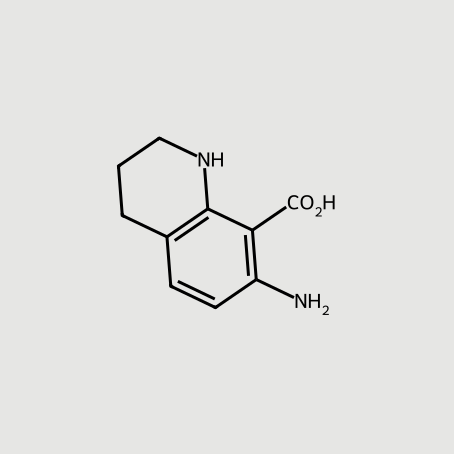 Nc1ccc2c(c1C(=O)O)NCCC2